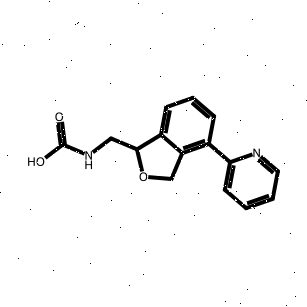 O=C(O)NCC1OCc2c(-c3ccccn3)cccc21